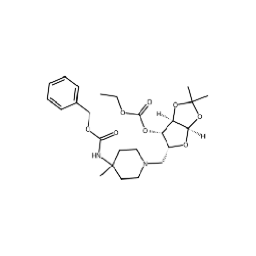 CCOC(=O)O[C@@H]1[C@H]2OC(C)(C)O[C@H]2O[C@@H]1CN1CCC(C)(NC(=O)OCc2ccccc2)CC1